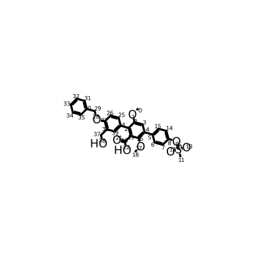 COc1cc(-c2ccc(OS(C)(=O)=O)cc2)c(OC)c(C(=O)O)c1-c1ccc(OCc2ccccc2)c(CO)c1